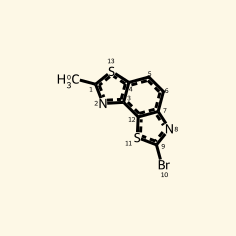 Cc1nc2c(ccc3nc(Br)sc32)s1